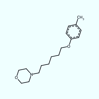 Cc1ccc(OCCCCCCN2CCOCC2)cc1